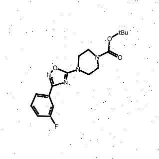 CC(C)(C)OC(=O)N1CCN(c2nc(-c3cccc(F)c3)no2)CC1